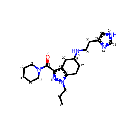 CCCn1nc(C(=O)N2CCCCC2)c2c1CCC(NCCc1c[nH]cn1)C2